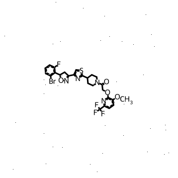 COc1ccc(C(F)(F)F)nc1OCC(=O)N1CCC(c2nc(C3=NOC(c4c(F)cccc4Br)C3)cs2)CC1